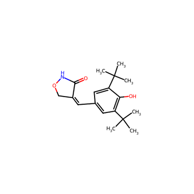 CC(C)(C)c1cc(C=C2CONC2=O)cc(C(C)(C)C)c1O